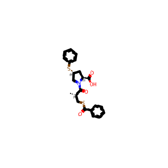 C[C@@H](CSC(=O)c1ccccc1)C(=O)N1C[C@H](Sc2ccccc2)C[C@H]1C(=O)O